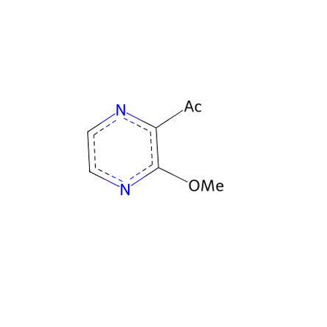 COc1nccnc1C(C)=O